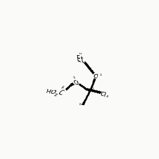 CCOC(C)(Cl)OC(=O)O